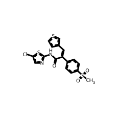 CS(=O)(=O)c1ccc(C(=Cc2ccsc2)C(=O)Nc2ncc(Cl)s2)cc1